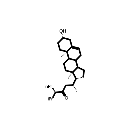 CCC[C@@H](C(=O)C[C@@H](C)[C@H]1CCC2C3CC=C4C[C@@H](O)CC[C@]4(C)C3CC[C@@]21C)C(C)C